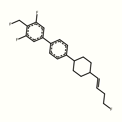 FCC/C=C/C1CCC(c2ccc(-c3cc(F)c(CF)c(F)c3)cc2)CC1